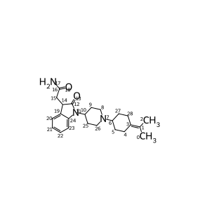 CC(C)=C1CCC(N2CCC(N3C(=O)C(CC(N)=O)c4ccccc43)CC2)CC1